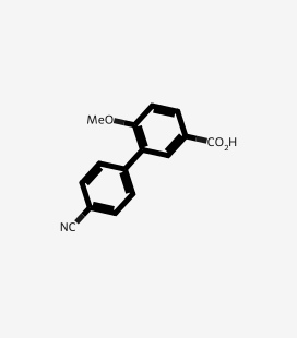 COc1ccc(C(=O)O)cc1-c1ccc(C#N)cc1